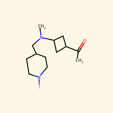 CC(=O)C1CC(N(C)CC2CCN(I)CC2)C1